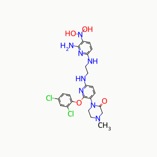 CN1CCN(c2ccc(NCCNc3ccc(N(O)O)c(N)n3)nc2Oc2ccc(Cl)cc2Cl)C(=O)C1